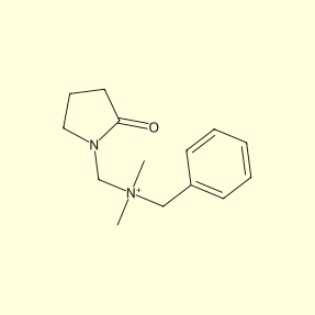 C[N+](C)(Cc1ccccc1)CN1CCCC1=O